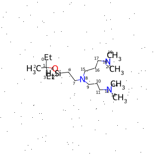 CCC(C)(CC)O[SiH2]CCN(CCCN(C)C)CCCN(C)C